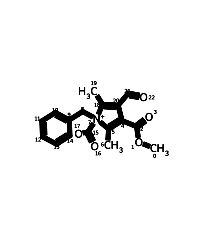 COC(=O)C1=C(C)[N+](Cc2ccccc2)(C(=O)[O-])C(C)=C1C=O